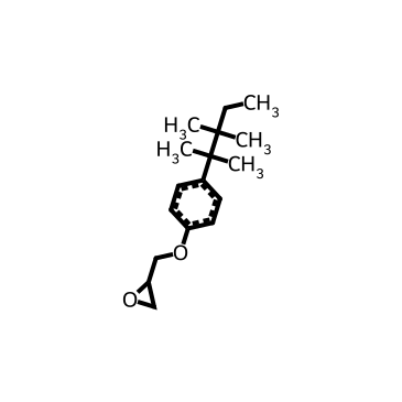 CCC(C)(C)C(C)(C)c1ccc(OCC2CO2)cc1